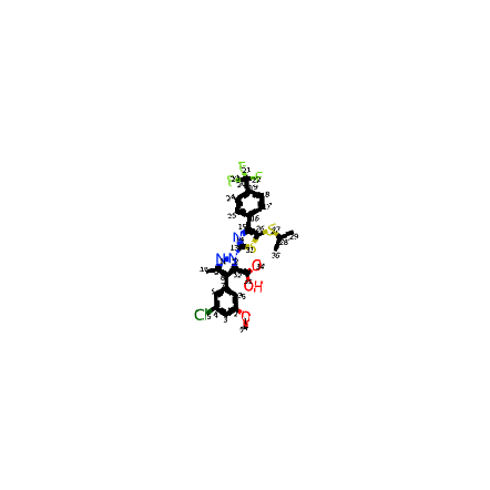 COc1cc(Cl)cc(-c2c(C)nn(-c3nc(-c4ccc(C(F)(F)F)cc4)c(SC(C)C)s3)c2C(=O)O)c1